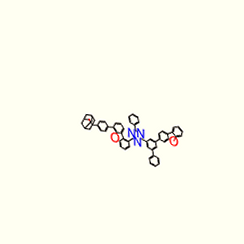 c1ccc(-c2cc(-c3ccc4c(c3)oc3ccccc34)cc(-c3nc(-c4ccccc4)nc(-c4cccc5oc6c(-c7ccc(C89CC%10CC(CC(C%10)C8)C9)cc7)cccc6c45)n3)c2)cc1